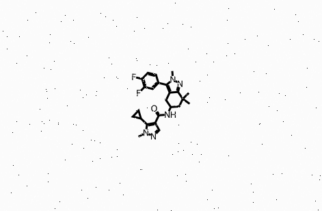 Cn1nc2c(c1-c1ccc(F)c(F)c1)CC(NC(=O)c1cnn(C)c1C1CC1)CC2(C)C